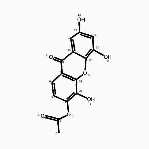 CC(=O)Oc1ccc2c(=O)c3cc(O)cc(O)c3oc2c1O